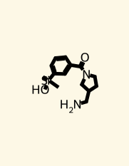 C[Si](C)(O)c1cccc(C(=O)N2CCC(CN)C2)c1